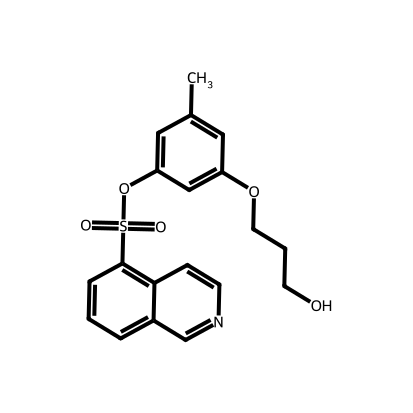 Cc1cc(OCCCO)cc(OS(=O)(=O)c2cccc3cnccc23)c1